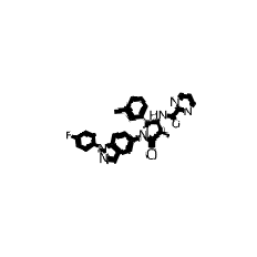 Cc1cccc([C@@H]2[C@@H](NC(=O)c3ncccn3)[C@@H](C)C(=O)N2c2ccc3c(cnn3-c3ccc(F)cc3)c2)c1